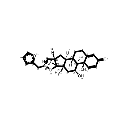 C[C@]12C=CC(=O)C=C1CC[C@H]1[C@@H]3C[C@H]4CN(Cc5ccco5)O[C@@]4(C(=O)O)[C@@]3(C)C[C@H](O)[C@@]12F